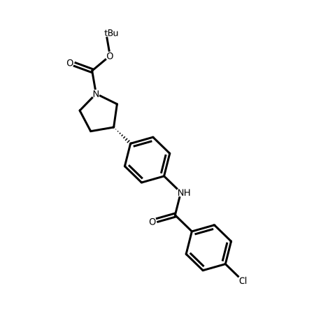 CC(C)(C)OC(=O)N1CC[C@@H](c2ccc(NC(=O)c3ccc(Cl)cc3)cc2)C1